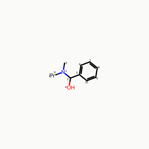 CC(C)N(C)C(O)c1ccccc1